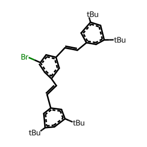 CC(C)(C)c1cc(C=Cc2cc(Br)cc(C=Cc3cc(C(C)(C)C)cc(C(C)(C)C)c3)c2)cc(C(C)(C)C)c1